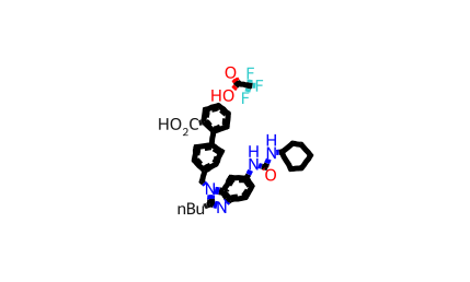 CCCCc1nc2ccc(NC(=O)NC3CCCCC3)cc2n1Cc1ccc(-c2ccccc2C(=O)O)cc1.O=C(O)C(F)(F)F